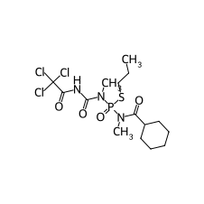 CCCSP(=O)(N(C)C(=O)NC(=O)C(Cl)(Cl)Cl)N(C)C(=O)C1CCCCC1